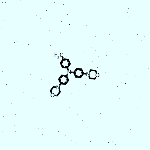 FC(F)(F)c1ccc(N(c2ccc(N3CCOCC3)cc2)c2ccc(N3CCOCC3)cc2)cc1